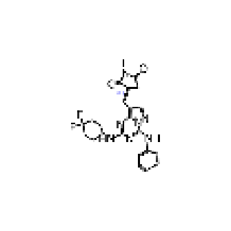 O=C1C/C(=C\c2cnn3c(Nc4ccccc4)nc(NC4CCC(F)(F)CC4)nc23)C(=O)N1